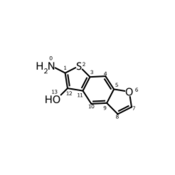 Nc1sc2cc3occc3cc2c1O